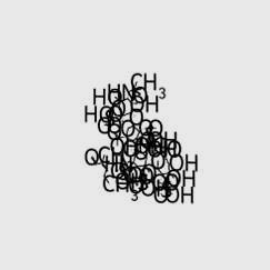 CC(=O)N[C@@H]1[C@@H](O)[C@H](O[C@@H]2O[C@H](C(=O)O)[C@@H](O[C@@H]3O[C@H](CO)[C@@H](O[C@H]4O[C@@H](C(=O)O)[C@H](O)[C@@H](O)[C@@H]4OS(=O)(=O)O)[C@H](OS(=O)(=O)O)[C@H]3NS(=O)(=O)O)[C@H](O)[C@H]2OS(=O)(=O)O)[C@H](COS(=O)(=O)O)O[C@H]1O.CCC=C(C)C=O